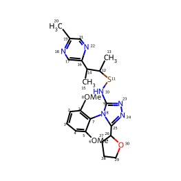 COc1cccc(OC)c1-n1c(NSC(C)C(C)c2cnc(C)cn2)nnc1C1CCCO1